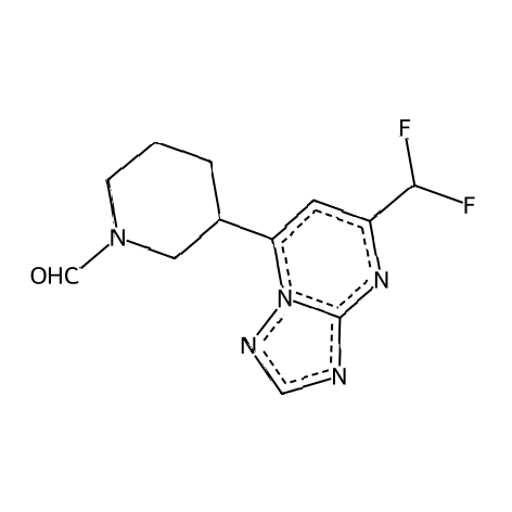 O=CN1CCCC(c2cc(C(F)F)nc3ncnn23)C1